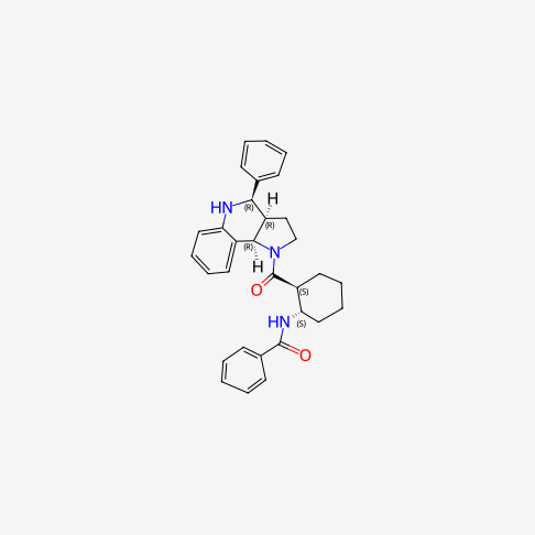 O=C(N[C@H]1CCCC[C@@H]1C(=O)N1CC[C@@H]2[C@H](c3ccccc3)Nc3ccccc3[C@@H]21)c1ccccc1